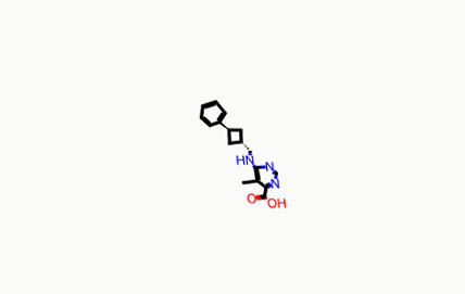 Cc1c(NC[C@H]2C[C@H](c3ccccc3)C2)ncnc1C(=O)O